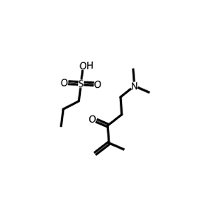 C=C(C)C(=O)CCN(C)C.CCCS(=O)(=O)O